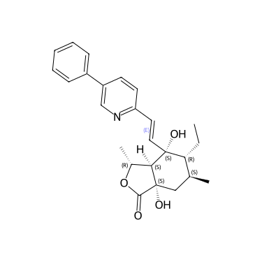 CC[C@@H]1[C@@H](C)C[C@@]2(O)C(=O)O[C@H](C)[C@H]2[C@@]1(O)/C=C/c1ccc(-c2ccccc2)cn1